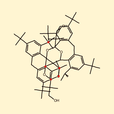 CC(C)(C)c1cc2c(c(C(C)(C)C)c1)C1OC(C(C)(C)CO)(OC3(c4c(cc(C(C)(C)C)cc4C(C)(C)C)Cc4cc(C(C)(C)C)cc(C(C)(C)C)c43)C13COC(C(C)(C)CO)OC3)c1c(cc(C(C)(C)C)cc1C(C)(C)C)C2